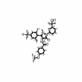 Cn1c(-c2c(F)cc(C(F)(F)F)cc2F)c(NC(=O)c2ccc(OC(F)F)cc2)c(=O)n1-c1cccc(C(C)(C)O)n1